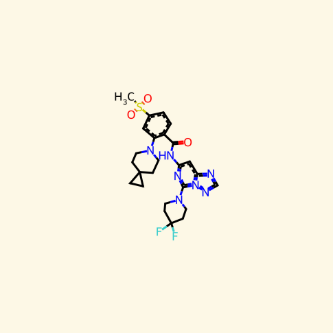 CS(=O)(=O)c1ccc(C(=O)Nc2cc3ncnn3c(N3CCC(F)(F)CC3)n2)c(N2CCC3(CC2)CC3)c1